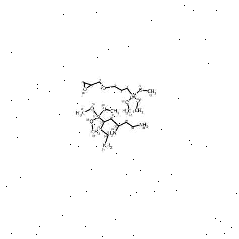 CO[Si](CCCOCC1CO1)(OC)OC.CO[Si](OC)(OC)C(CCN)CC(N)CCN